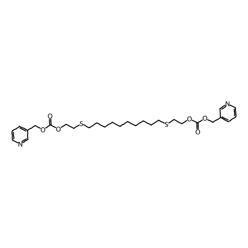 O=C(OCCSCCCCCCCCCCSCCOC(=O)OCc1cccnc1)OCc1cccnc1